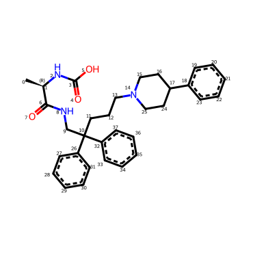 C[C@@H](NC(=O)O)C(=O)NCC(CCCN1CCC(c2ccccc2)CC1)(c1ccccc1)c1ccccc1